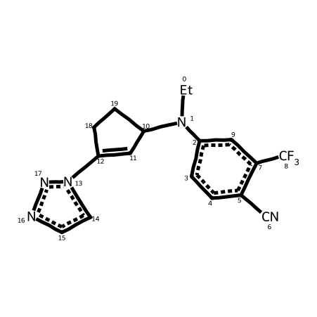 CCN(c1ccc(C#N)c(C(F)(F)F)c1)C1C=C(n2ccnn2)CC1